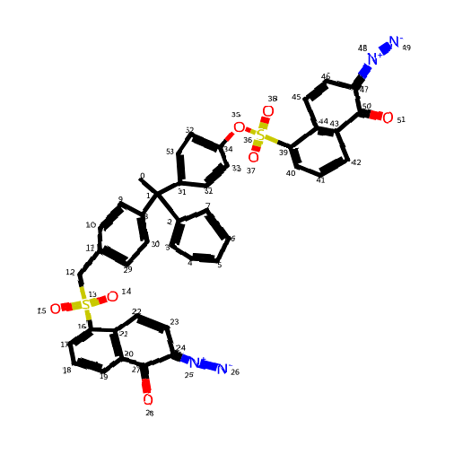 CC(c1ccccc1)(c1ccc(CS(=O)(=O)c2cccc3c2C=CC(=[N+]=[N-])C3=O)cc1)c1ccc(OS(=O)(=O)c2cccc3c2C=CC(=[N+]=[N-])C3=O)cc1